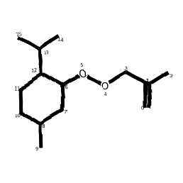 C=C(C)[CH]OOC1CC(C)CCC1C(C)C